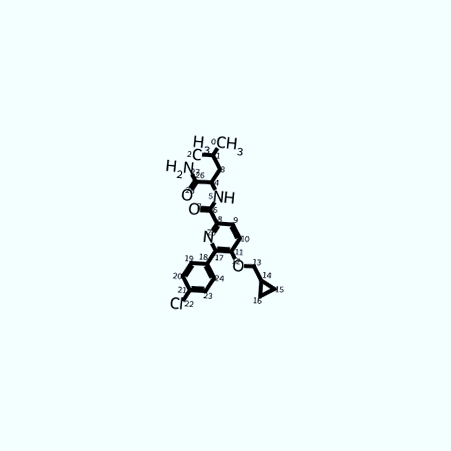 CC(C)CC(NC(=O)c1ccc(OCC2CC2)c(-c2ccc(Cl)cc2)n1)C(N)=O